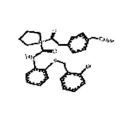 COc1ccc(CC(=O)[N+]2(C(=O)Nc3ccccc3SCc3ccccc3Br)CCCC2)cc1